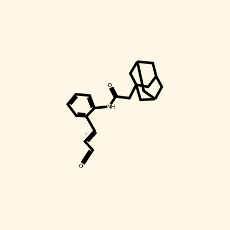 O=[C]/C=C/c1ccccc1NC(=O)CC12CC3CC(CC(C3)C1)C2